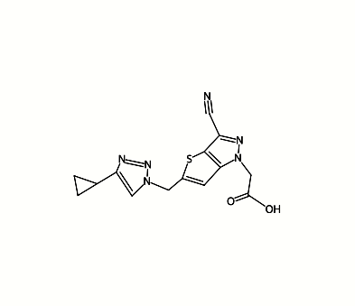 N#Cc1nn(CC(=O)O)c2cc(Cn3cc(C4CC4)nn3)sc12